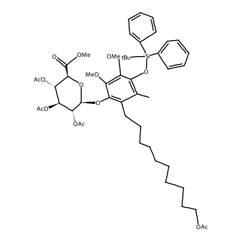 COC(=O)[C@H]1O[C@@H](Oc2c(CCCCCCCCCCOC(C)=O)c(C)c(O[Si](c3ccccc3)(c3ccccc3)C(C)(C)C)c(OC)c2OC)[C@H](OC(C)=O)[C@@H](OC(C)=O)[C@@H]1OC(C)=O